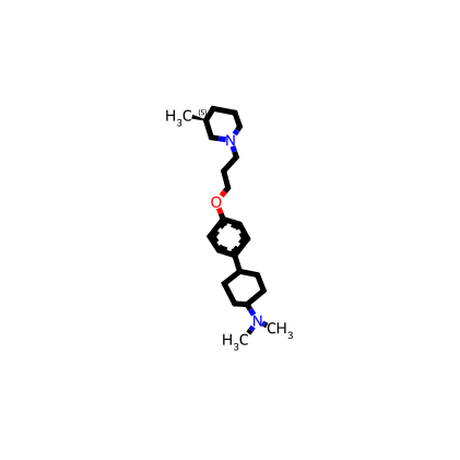 C[C@H]1CCCN(CCCOc2ccc(C3CCC(N(C)C)CC3)cc2)C1